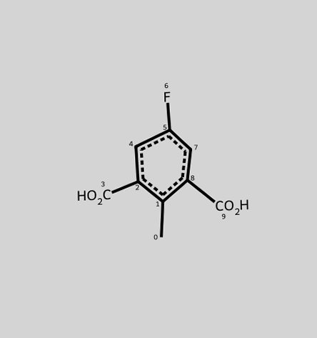 Cc1c(C(=O)O)cc(F)cc1C(=O)O